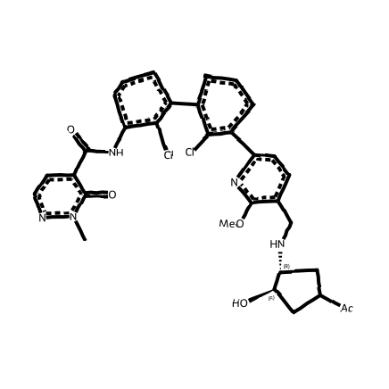 COc1nc(-c2cccc(-c3cccc(NC(=O)c4ccnn(C)c4=O)c3Cl)c2Cl)ccc1CN[C@@H]1CC(C(C)=O)C[C@H]1O